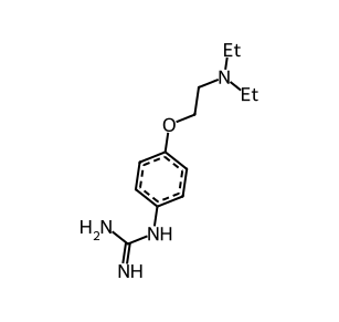 CCN(CC)CCOc1ccc(NC(=N)N)cc1